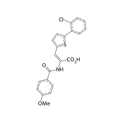 COc1ccc(C(=O)NC(=Cc2ccc(-c3ccccc3Cl)s2)C(=O)O)cc1